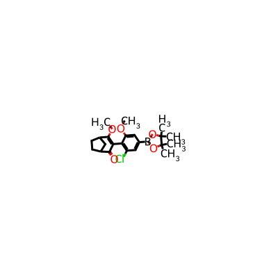 COC1=C(c2c(Cl)cc(B3OC(C)(C)C(C)(C)O3)cc2OC)C(=O)C2CCC1C2